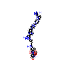 N=C/C(=C\NC1CC(CCCNc2ccc3c(c2)C(=O)N(C2CCC(=O)NC2=O)C3=O)C1)c1cnc2cc(N3CCN(CCN4CCN(c5cccc(-c6cn[nH]c6)n5)CC4)CC3)ccc2n1